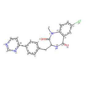 CN1C(=O)C(Cc2ccc(-c3ccncn3)cc2)NC(=O)c2cc(Cl)ccc21